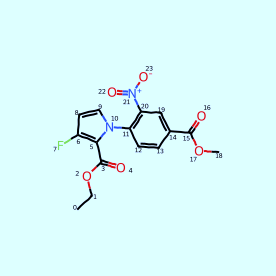 CCOC(=O)c1c(F)ccn1-c1ccc(C(=O)OC)cc1[N+](=O)[O-]